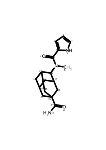 CN(C(=O)c1ccc[nH]1)C1C2CC3CC1CC(C(N)=O)(C3)C2